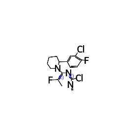 C=N/C(Cl)=N\C(=C(/C)F)N1CCCCC1c1ccc(F)c(Cl)c1